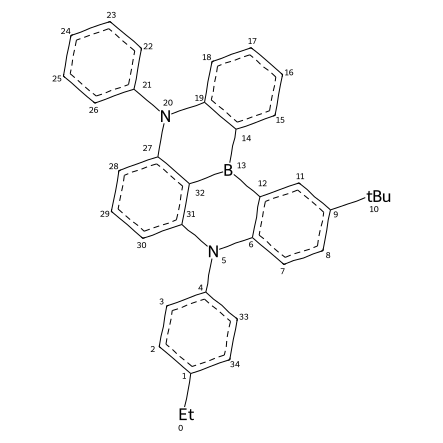 CCc1ccc(N2c3ccc(C(C)(C)C)cc3B3c4ccccc4N(c4ccccc4)c4cccc2c43)cc1